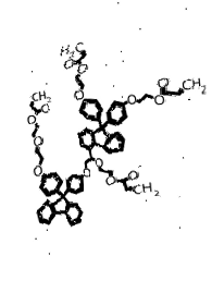 C=CC(=O)OCCOCCOc1ccc(C2(c3ccc(OCC(OCCOC(=O)C=C)c4cccc5c4-c4ccccc4C5(c4ccc(OCCOC(=O)C=C)cc4)c4ccc(OCCOC(=O)C=C)cc4)cc3)c3ccccc3-c3ccccc32)cc1